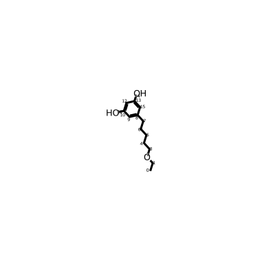 CCOCCCCCc1cc(O)cc(O)c1